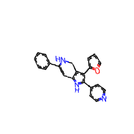 C1=C(c2ccccc2)NCc2c1[nH]c(-c1ccncc1)c2-c1ccco1